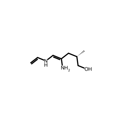 C=CN/C=C(\N)C[C@H](C)CO